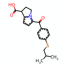 CC(C)CSc1ccc(C(=O)c2ccc3n2CCC3C(=O)O)cc1